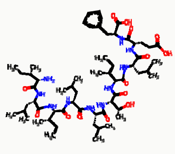 CC[C@H](C)[C@H](N)C(=O)N[C@@H](CC(C)C)C(=O)N[C@H](C(=O)N[C@@H](CC(C)C)C(=O)N[C@@H](CC(C)C)C(=O)N[C@H](C(=O)N[C@H](C(=O)N[C@@H](CC(C)C)C(=O)N[C@@H](CCC(=O)O)C(=O)N[C@@H](Cc1ccccc1)C(=O)O)[C@@H](C)CC)[C@@H](C)O)[C@@H](C)CC